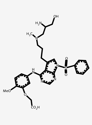 COc1ccc(Nc2ncnc3c2c(CCCN(C)CC(N)CO)cn3S(=O)(=O)c2ccccc2)cc1OCC(=O)O